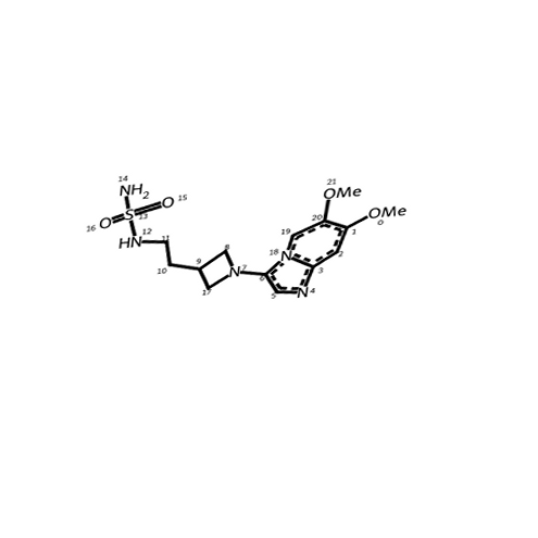 COc1cc2ncc(N3CC(CCNS(N)(=O)=O)C3)n2cc1OC